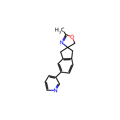 CC1=NC2(CO1)Cc1ccc(-c3cccnc3)cc1C2